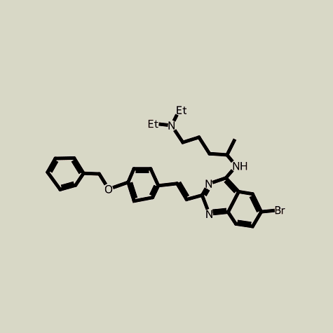 CCN(CC)CCCC(C)Nc1nc(/C=C/c2ccc(OCc3ccccc3)cc2)nc2ccc(Br)cc12